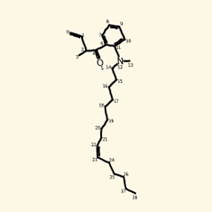 C=CC(C)C(=O)c1ccccc1N(C)CCCCCCCC/C=C\CCCCC